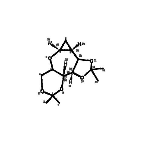 CC1(C)OCC2O[C@H]3C[C@H]3C3OC(C)(C)O[C@H]3[C@@H]2O1